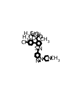 Cc1cc2nc(-c3ccc4ncn(C5CCN(C)CC5)c4c3)sc2c(-c2ccc(Cl)cc2)c1[C@H](OC(C)(C)C)C(=O)O